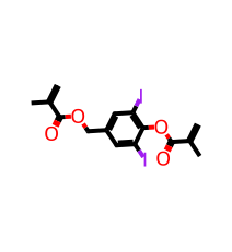 C=C(C)C(=O)OCc1cc(I)c(OC(=O)C(=C)C)c(I)c1